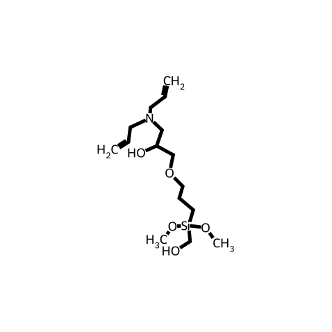 C=CCN(CC=C)CC(O)COCCC[Si](CO)(OC)OC